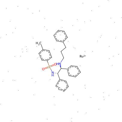 Cc1ccc(S(=O)(=O)N[C@@H](c2ccccc2)[C@@H](NCCCc2ccccc2)c2ccccc2)cc1.[Ru+2]